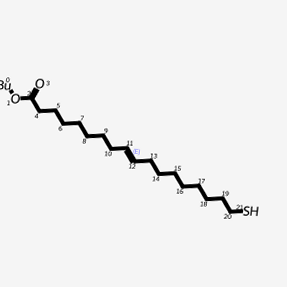 CCC(C)OC(=O)CCCCCCC/C=C/CCCCCCCCS